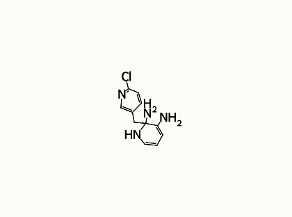 NC1=CC=CNC1(N)Cc1ccc(Cl)nc1